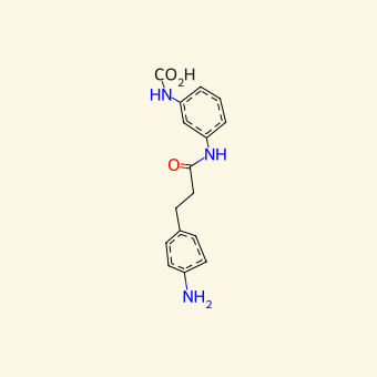 Nc1ccc(CCC(=O)Nc2cccc(NC(=O)O)c2)cc1